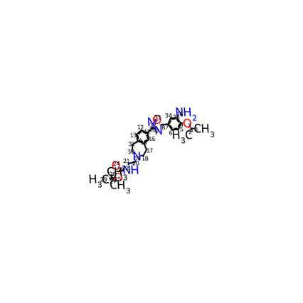 CC(C)Oc1ccc(-c2nc(-c3ccc4c(c3)CCN(CCNC(=O)OC(C)(C)C)CC4)no2)cc1N